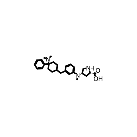 CN(c1cccc(CC2CCC(c3ccccc3)(N(C)C)CC2)c1)[C@@H]1CN[C@H](C(=O)O)C1